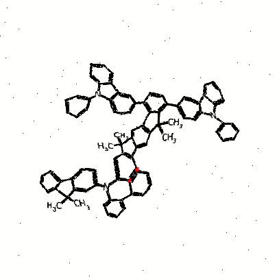 CC1(C)c2ccccc2-c2ccc(N(c3ccc4c(c3)C(C)(C)c3cc5c(cc3-4)C(C)(C)c3c(-c4ccc6c(c4)c4ccccc4n6-c4ccccc4)ccc(-c4ccc6c(c4)c4ccccc4n6-c4ccccc4)c3-5)c3ccccc3-c3ccccc3)cc21